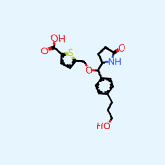 O=C1CCC(C(OCc2ccc(C(=O)O)s2)c2ccc(CCCO)cc2)N1